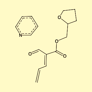 C=CC=C(C=O)C(=O)OCC1CCCO1.c1ccncc1